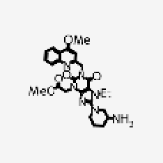 CCn1c(N2CCCC(N)C2)nc2c1c(=O)n(Cc1cc(OC)c3ccccc3n1)c(=O)n2CC(=O)OC